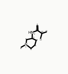 C=C(NC1CCCN(C)C1)C(C)C